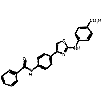 O=C(O)c1ccc(Nc2nc(-c3ccc(NC(=O)c4ccccc4)cc3)cs2)cc1